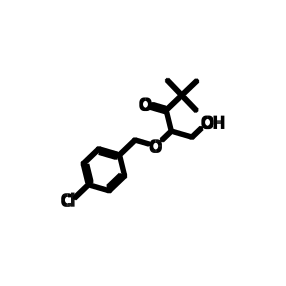 CC(C)(C)C(=O)C(CO)OCc1ccc(Cl)cc1